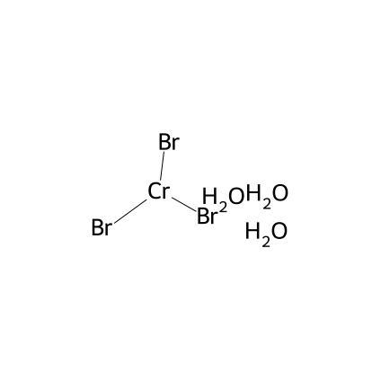 O.O.O.[Br][Cr]([Br])[Br]